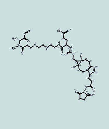 C[C@H](C(=O)N=O)N(C)C(=O)CCOCCOCCNC(=O)C(CCC(=O)O)NC(=O)OCC1[C@H]2CCc3c(nnn3CCC(=O)ON3C(=O)CCC3=O)CC[C@@H]12